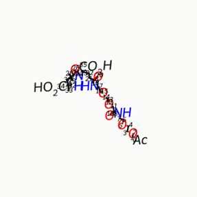 CC(=O)COCCOCCNC(=O)COCCOCCNC(=O)CC[C@@H](NC(=O)C(C)(C)CC(C)(C)C(=O)O)C(=O)O